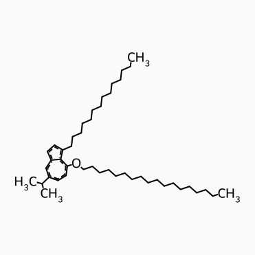 CCCCCCCCCCCCCCCCCCOc1ccc(C(C)C)cc2ccc(CCCCCCCCCCCCCC)c1-2